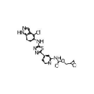 O=C(Nc1cc(-c2nnc(Nc3ccc4[nH]ncc4c3Cl)s2)ccn1)OCC1CO1